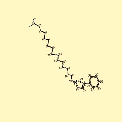 CC(C)CCCCCCCCCCCCCCCC[n+]1ccn(-c2ccccc2)c1